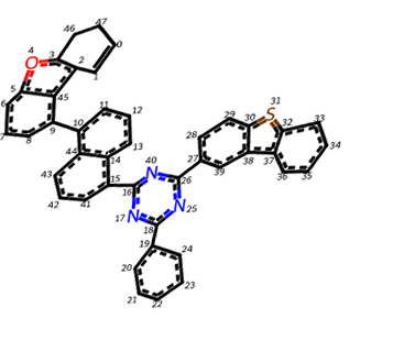 C1=Cc2c(oc3cccc(-c4cccc5c(-c6nc(-c7ccccc7)nc(-c7ccc8sc9ccccc9c8c7)n6)cccc45)c23)CC1